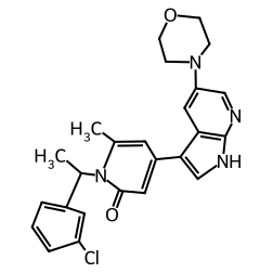 Cc1cc(-c2c[nH]c3ncc(N4CCOCC4)cc23)cc(=O)n1C(C)c1cccc(Cl)c1